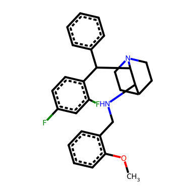 COc1ccccc1CNC1C2CCN(CC2)C1C(c1ccccc1)c1ccc(F)cc1F